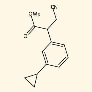 COC(=O)C(CC#N)c1cccc(C2CC2)c1